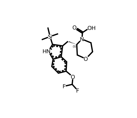 C[Si](C)(C)c1[nH]c2ccc(OC(F)F)cc2c1C[C@H]1COCCN1C(=O)O